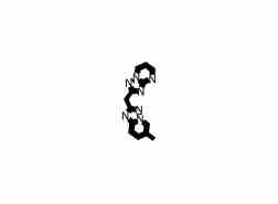 Cc1ccc2nc(Cc3nc4ncccn4n3)nn2c1